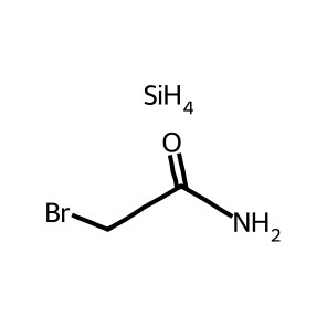 NC(=O)CBr.[SiH4]